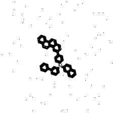 c1ccc(-c2cccc(N(c3ccc(-c4ccc5ccc6c7ccccc7ccc6c5c4)cc3)c3ccc4ccccc4c3)c2)cc1